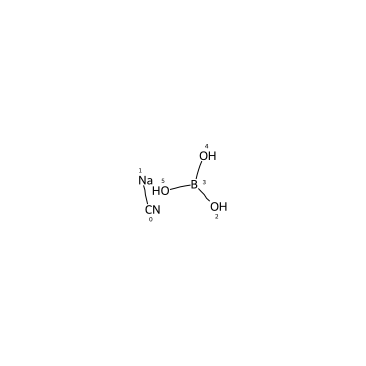 N#[C][Na].OB(O)O